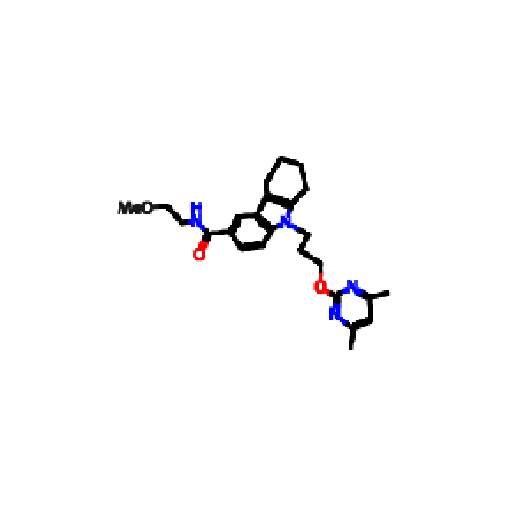 COCCNC(=O)c1ccc2c(c1)c1c(n2CCCOc2nc(C)cc(C)n2)CCCC1